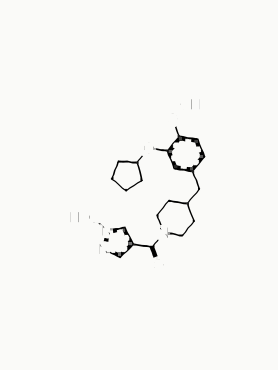 COc1ccc(CC2CCN(C(=O)c3cnn(C)c3)CC2)cc1OC1CCCC1